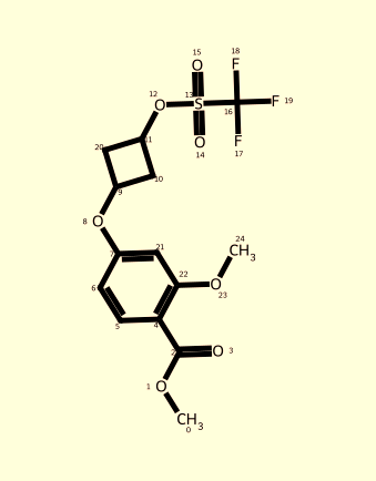 COC(=O)c1ccc(OC2CC(OS(=O)(=O)C(F)(F)F)C2)cc1OC